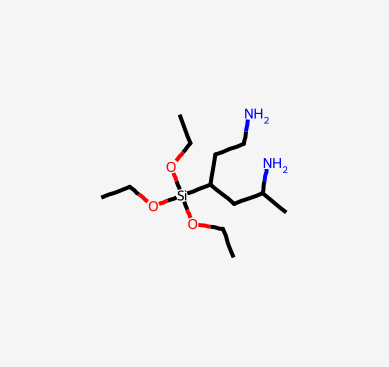 CCO[Si](OCC)(OCC)C(CCN)CC(C)N